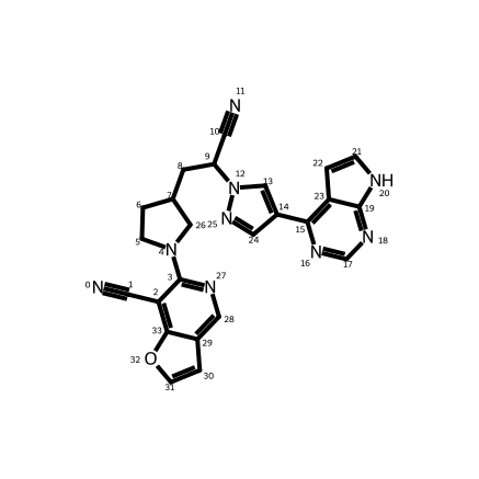 N#Cc1c(N2CCC(CC(C#N)n3cc(-c4ncnc5[nH]ccc45)cn3)C2)ncc2ccoc12